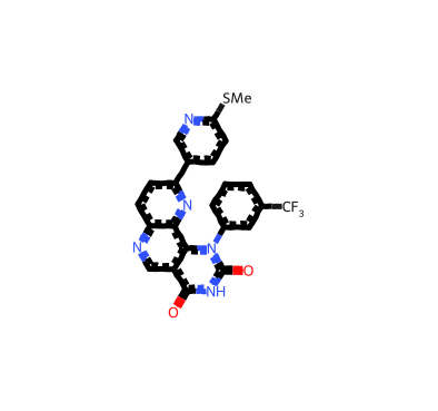 CSc1ccc(-c2ccc3ncc4c(=O)[nH]c(=O)n(-c5cccc(C(F)(F)F)c5)c4c3n2)cn1